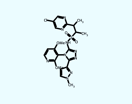 COc1ccnc(OC)c1-n1c(NS(=O)(=O)C(C)C(C)c2ncc(Cl)cn2)nnc1-c1ccn(C)n1